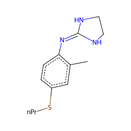 CCCSc1ccc(N=C2NCCN2)c(C)c1